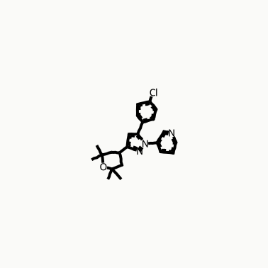 CC1(C)CC(c2cc(-c3ccc(Cl)cc3)n(-c3cccnc3)n2)CC(C)(C)O1